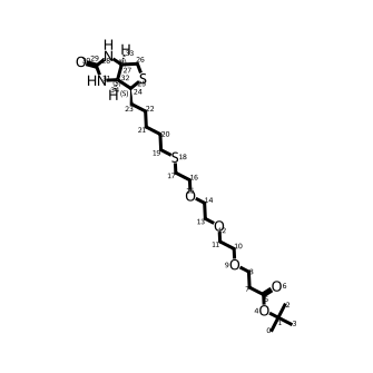 CC(C)(C)OC(=O)CCOCCOCCOCCSCCCCC[C@@H]1SC[C@@H]2NC(=O)N[C@@H]21